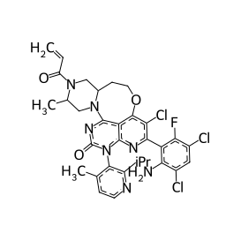 C=CC(=O)N1CC2CCOc3c(Cl)c(-c4c(N)c(Cl)cc(Cl)c4F)nc4c3c(nc(=O)n4-c3c(C)ccnc3C(C)C)N2CC1C